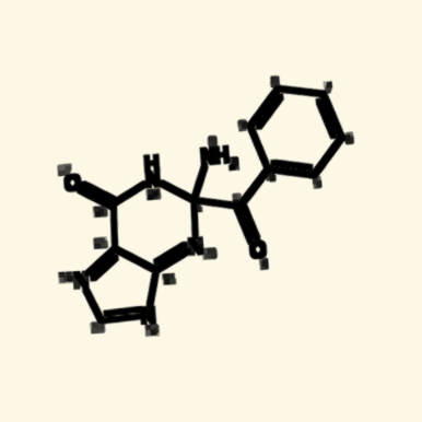 NC1(C(=O)c2ccccc2)N=C2N=CN=C2C(=O)N1